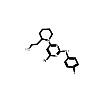 CCCc1cc(N2CCCCC2CCO)nc(Nc2ccc(F)cc2)n1